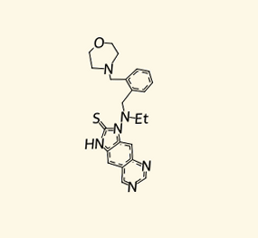 CCN(Cc1ccccc1CN1CCOCC1)n1c(=S)[nH]c2cc3cncnc3cc21